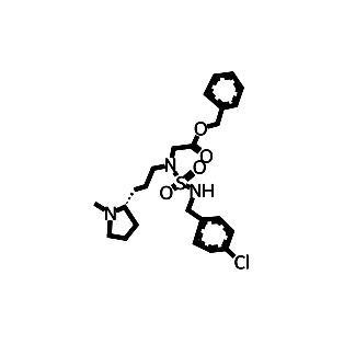 CN1CCC[C@H]1CCCN(CC(=O)OCc1ccccc1)S(=O)(=O)NCc1ccc(Cl)cc1